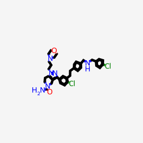 NC(=O)N1CCc2c(c(-c3ccc(Cl)c(CCc4ccc(CNCc5ccc(Cl)cc5)cc4)c3)nn2CCCN2CCOCC2)C1